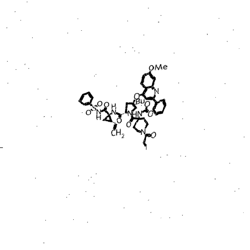 C=C[C@@H]1C[C@]1(NC(=O)[C@@H]1C[C@@H](Oc2cc(-c3ccccc3)nc3cc(OC)ccc23)CN1C(=O)C1(NC(=O)OC(C)(C)C)CCN(C(=O)CI)CC1)C(=O)NS(=O)(=O)c1ccccc1